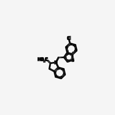 O=C(O)C1Cc2ccccc2N1Cc1csc2ccc(Cl)cc12